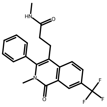 CNC(=O)CCc1c(-c2ccccc2)n(C)c(=O)c2cc(C(F)(F)F)ccc12